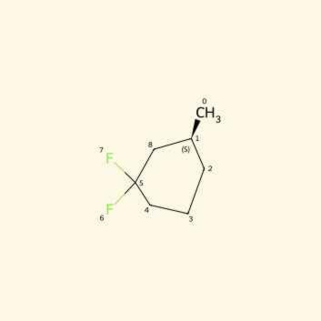 C[C@H]1CCCC(F)(F)C1